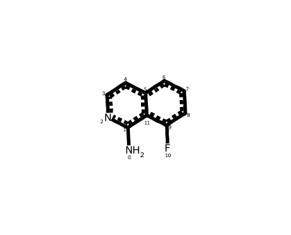 Nc1nc[c]c2cccc(F)c12